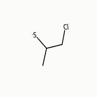 CC([S])CCl